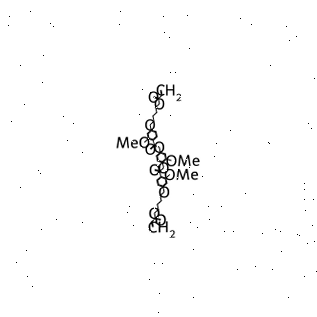 C=CC(=O)OCCCCOc1ccc(C(=O)Oc2ccc(OC(=O)c3ccc(OCCCCOC(=O)C=C)cc3OC)c(OC)c2)c(OC)c1